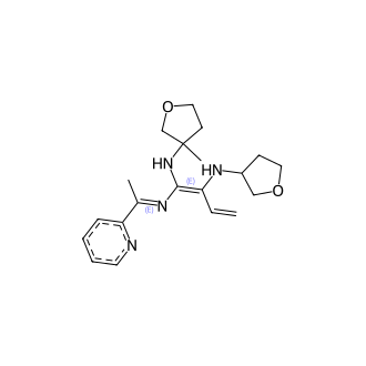 C=C/C(NC1CCOC1)=C(\N=C(/C)c1ccccn1)NC1(C)CCOC1